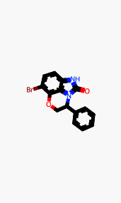 O=c1[nH]c2ccc(Br)c3c2n1C(c1ccccc1)CO3